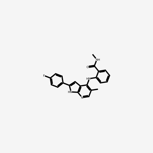 CNC(=O)c1ccccc1Nc1c(C)cnc2[nH]c(-c3ccc(F)cc3)cc12